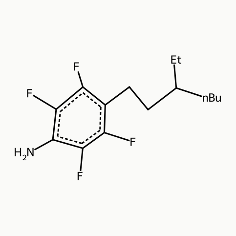 CCCCC(CC)CCc1c(F)c(F)c(N)c(F)c1F